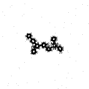 c1ccc(-c2ccc(-c3cc(-c4ccc5sc6c(-c7nc(-c8ccccc8)nc(-c8ccccc8)n7)cccc6c5c4)cc4c3oc3ccccc34)cc2)cc1